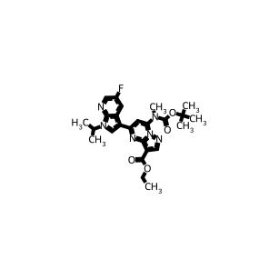 CCOC(=O)c1cnn2c(N(C)C(=O)OC(C)(C)C)cc(-c3cn(C(C)C)c4ncc(F)cc34)nc12